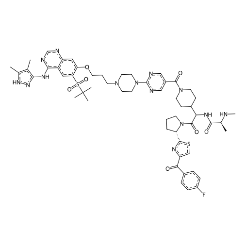 CN[C@@H](C)C(=O)NC(C(=O)N1CCC[C@H]1c1nc(C(=O)c2ccc(F)cc2)cs1)C1CCN(C(=O)c2cnc(N3CCN(CCCOc4cc5ncnc(Nc6n[nH]c(C)c6C)c5cc4S(=O)(=O)C(C)(C)C)CC3)nc2)CC1